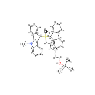 CN1c2ccccc2C2C1c1ccccc1C2S(C)(CCCCCCOC(C)(C)C)C1c2ccccc2-c2ccccc21